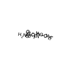 CCC(F)(CC)CN1CCC(COc2cnc(-c3ccc(C(=O)N4CCCC[C@@H]4C(N)=O)cc3F)nc2)CC1